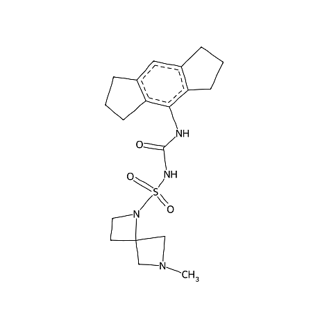 CN1CC2(CCN2S(=O)(=O)NC(=O)Nc2c3c(cc4c2CCC4)CCC3)C1